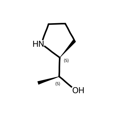 C[C@H](O)[C@@H]1CCCN1